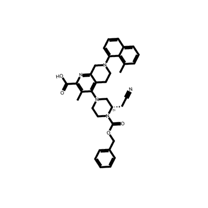 Cc1c(C(=O)O)nc2c(c1N1CCN(C(=O)OCc3ccccc3)[C@@H](CC#N)C1)CCN(c1cccc3cccc(C)c13)C2